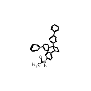 CC(=O)Nc1ccc(C2CCC2(c2ccc(-c3ccccc3)cc2)c2ccc(-c3ccccc3)cc2)cc1